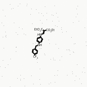 CCOC(=O)C(=CNc1ccc(NCc2ccc(C(F)(F)F)cc2)cc1)C(=O)OCC